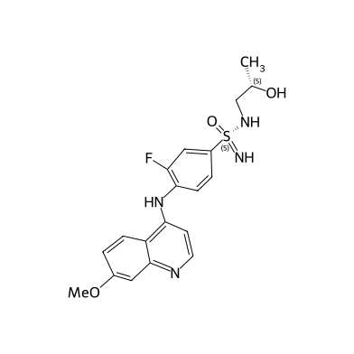 COc1ccc2c(Nc3ccc([S@](=N)(=O)NC[C@H](C)O)cc3F)ccnc2c1